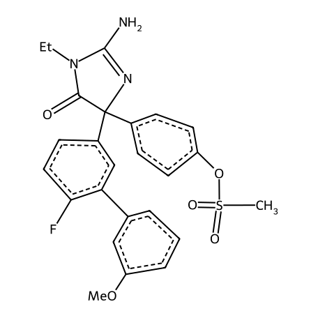 CCN1C(=O)C(c2ccc(OS(C)(=O)=O)cc2)(c2ccc(F)c(-c3cccc(OC)c3)c2)N=C1N